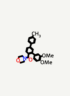 COc1ccc(-c2cc(-c3ccc(C)cc3)ccc2C(=O)N2CCOCC2)cc1OC